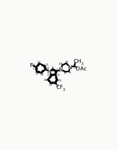 CC(=O)OC(C)N1CCN(c2cn(-c3ccc(F)cc3)c3ccc(C(F)(F)F)cc23)CC1